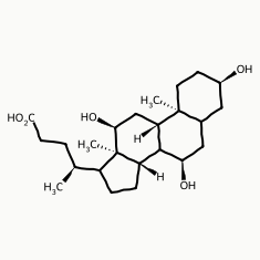 C[C@@H](CCC(=O)O)C1CC[C@H]2C3[C@H](O)CC4C[C@H](O)CC[C@]4(C)[C@H]3C[C@H](O)[C@]12C